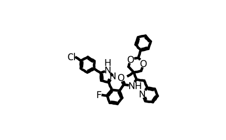 CC1(C(Cc2ccccn2)NC(=O)c2cccc(F)c2-c2cc(-c3ccc(Cl)cc3)[nH]n2)COC(c2ccccc2)OC1